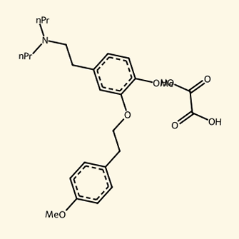 CCCN(CCC)CCc1ccc(OC)c(OCCc2ccc(OC)cc2)c1.O=C(O)C(=O)O